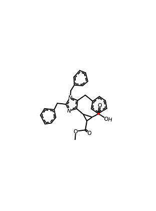 COC(=O)C1C(C(=O)O)C1c1nc(Cc2ccccc2)n(Cc2ccccc2)c1Cc1ccccc1